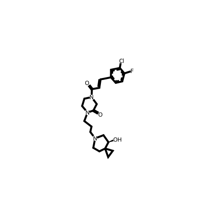 O=C(C=Cc1ccc(F)c(Cl)c1)N1CCN(CCCN2CCC3(CC3)[C@H](O)C2)C(=O)C1